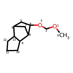 COCOC1CC2CC1C1CCCC21